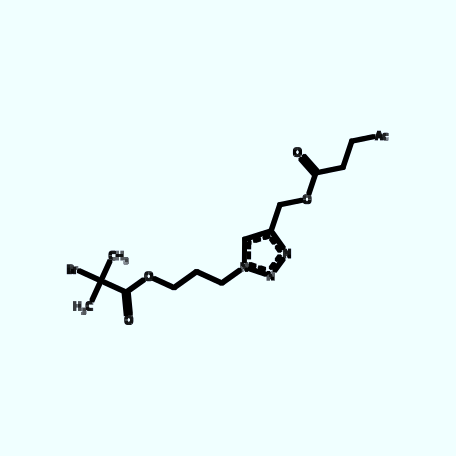 CC(=O)CCC(=O)OCc1cn(CCCOC(=O)C(C)(C)Br)nn1